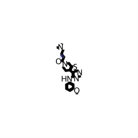 COc1cccc(Nc2ncnc3sc4c(c23)CCN(C(=O)/C=C/CN(C)C)C4)c1